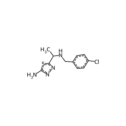 CC(NCc1ccc(Cl)cc1)c1nnc(N)s1